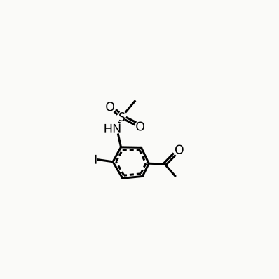 CC(=O)c1ccc(I)c(NS(C)(=O)=O)c1